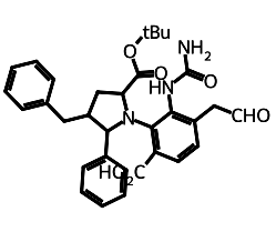 CC(C)(C)OC(=O)C1CC(Cc2ccccc2)C(c2ccccc2)N1c1c(C(=O)O)ccc(CC=O)c1NC(N)=O